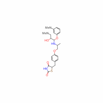 CNCC(O)C(NC(C)COc1ccc(CC2SC(=O)NC2=O)cc1)Oc1cccc(NC)c1